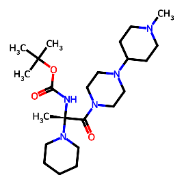 CN1CCC(N2CCN(C(=O)[C@@](C)(NC(=O)OC(C)(C)C)N3CCCCC3)CC2)CC1